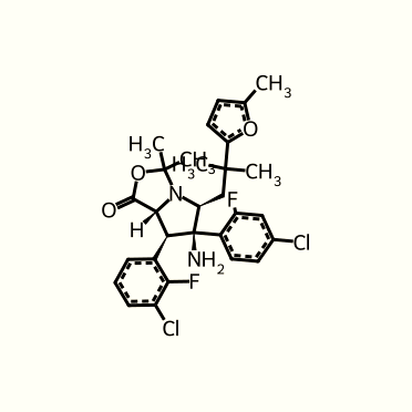 Cc1ccc(C(C)(C)C[C@@H]2N3[C@@H](C(=O)OC3(C)C)[C@H](c3cccc(Cl)c3F)[C@@]2(N)c2ccc(Cl)cc2F)o1